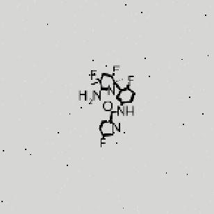 C[C@@]1(F)C[C@H](F)[C@@](C)(c2cc(NC(=O)c3ccc(F)cn3)ccc2F)N=C1N